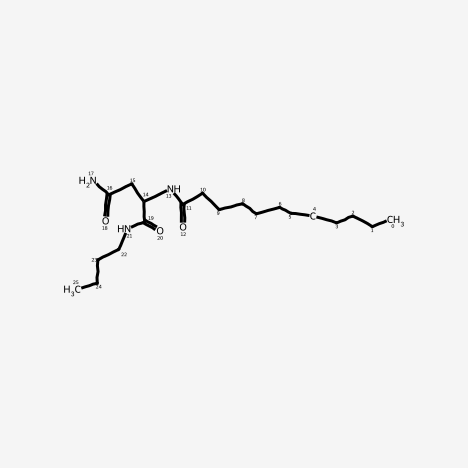 CCCCCCCCCCCC(=O)NC(CC(N)=O)C(=O)NCCCC